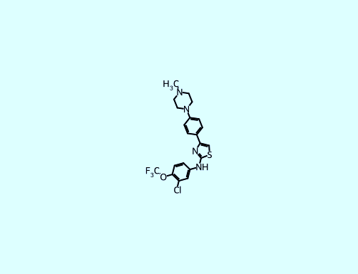 CN1CCN(c2ccc(-c3csc(Nc4ccc(OC(F)(F)F)c(Cl)c4)n3)cc2)CC1